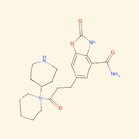 NC(=O)c1cc(C[CH]C(=O)[N+]2(C3CCNCC3)CCCCC2)cc2oc(=O)[nH]c12